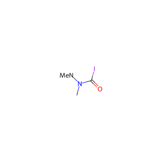 CNN(C)C(=O)I